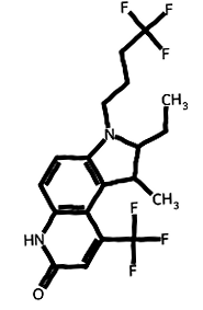 CCC1C(C)c2c(ccc3[nH]c(=O)cc(C(F)(F)F)c23)N1CCCC(F)(F)F